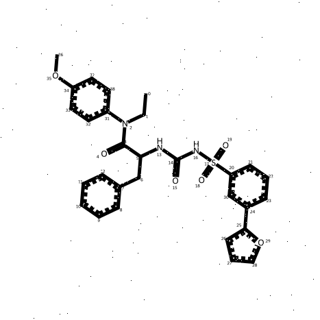 CCN(C(=O)C(Cc1ccccc1)NC(=O)NS(=O)(=O)c1cccc(-c2ccco2)c1)c1ccc(OC)cc1